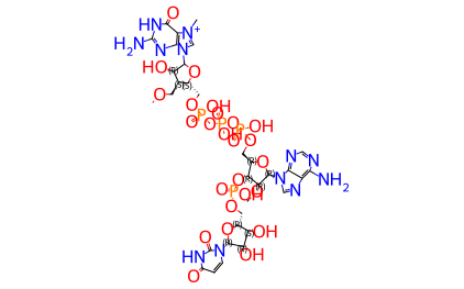 COC[C@@H]1[C@@H](COP(=O)(O)OP(=O)(O)OP(=O)(O)OC[C@H]2O[C@@H](n3cnc4c(N)ncnc43)[C@H](OC)[C@@H]2OP(=O)(O)OC[C@H]2O[C@@H](n3ccc(=O)[nH]c3=O)[C@H](O)[C@@H]2O)OC(n2c[n+](C)c3c(=O)[nH]c(N)nc32)[C@@H]1O